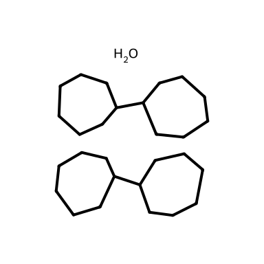 C1CCCC(C2CCCCCC2)CC1.C1CCCC(C2CCCCCC2)CC1.O